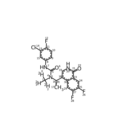 [2H]C([2H])([2H])N(C(=O)Nc1ccc(F)c(Cl)c1)[C@H](C)c1c[nH]c(=O)c2cc(F)c(F)cc12